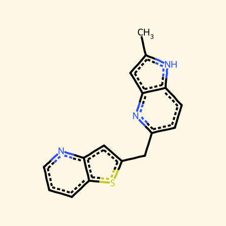 Cc1cc2nc(Cc3cc4ncccc4s3)ccc2[nH]1